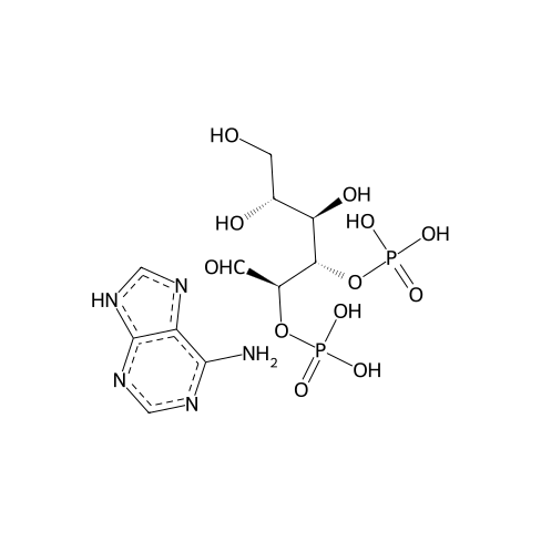 Nc1ncnc2[nH]cnc12.O=C[C@H](OP(=O)(O)O)[C@@H](OP(=O)(O)O)[C@H](O)[C@H](O)CO